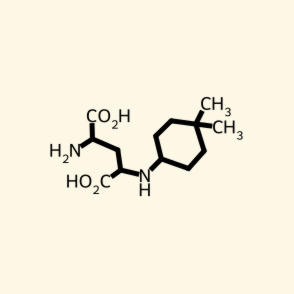 CC1(C)CCC(NC(CC(N)C(=O)O)C(=O)O)CC1